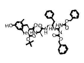 Cc1cc(O)cc(C)c1C[C@H](NC(=O)OC(C)(C)C)C(=O)N[C@H](C)C(=O)NC[C@H](Cc1ccccc1)N/C(=N\C(=O)OCc1ccccc1)NC(=O)OCc1ccccc1